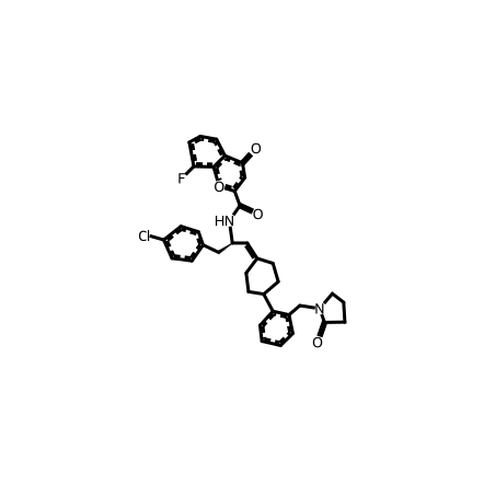 O=C(N[C@@H](C=C1CCC(c2ccccc2CN2CCCC2=O)CC1)Cc1ccc(Cl)cc1)c1cc(=O)c2cccc(F)c2o1